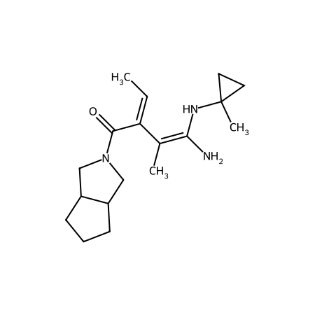 C/C=C(C(=O)N1CC2CCCC2C1)/C(C)=C(/N)NC1(C)CC1